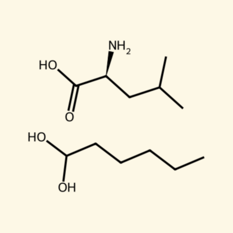 CC(C)C[C@H](N)C(=O)O.CCCCCC(O)O